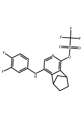 O=S(=O)(Oc1ncc(Nc2ccc(F)c(F)c2)c2c1C1CCC2C1)C(F)(F)F